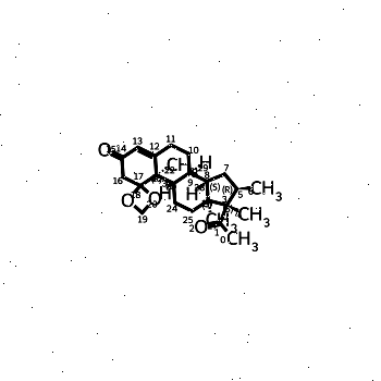 CC(=O)[C@@]1(C)[C@H](C)C[C@H]2[C@@H]3CCC4=CC(=O)CC5(OCO5)[C@]4(C)[C@H]3CC[C@@]21C